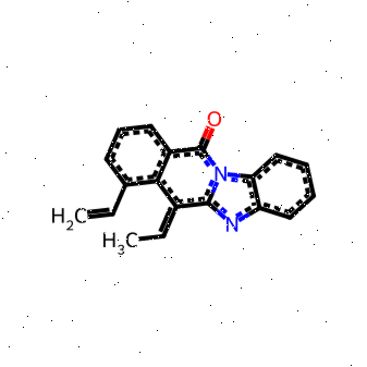 C=Cc1cccc2c(=O)n3c(nc4ccccc43)/c(=C/C)c12